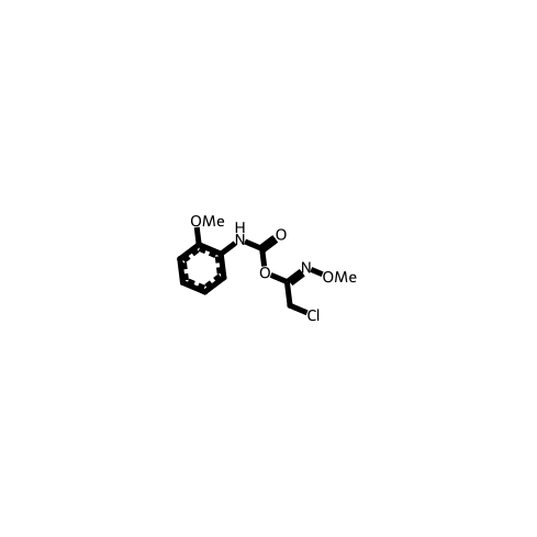 CON=C(CCl)OC(=O)Nc1ccccc1OC